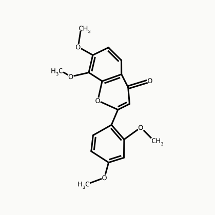 COc1ccc(-c2cc(=O)c3ccc(OC)c(OC)c3o2)c(OC)c1